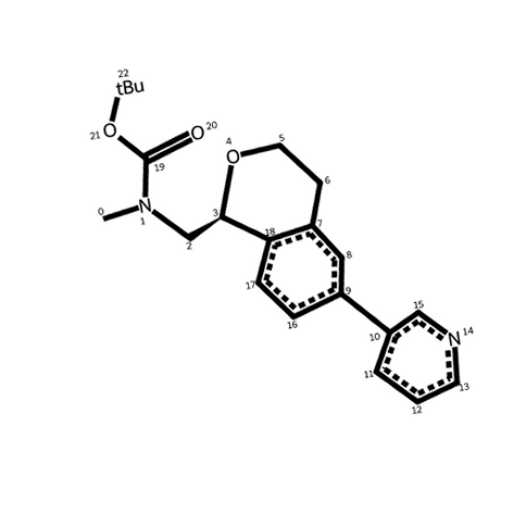 CN(C[C@H]1OCCc2cc(-c3cccnc3)ccc21)C(=O)OC(C)(C)C